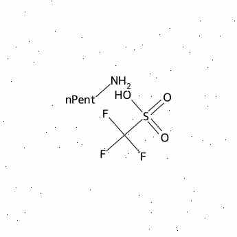 CCCCCN.O=S(=O)(O)C(F)(F)F